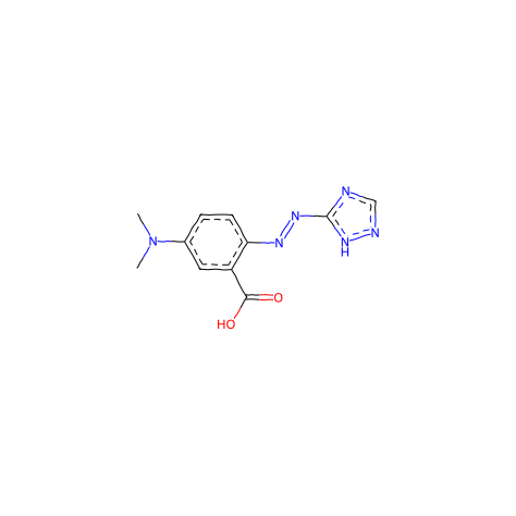 CN(C)c1ccc(N=Nc2ncn[nH]2)c(C(=O)O)c1